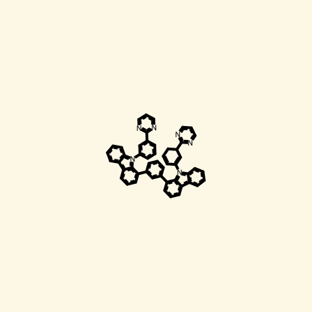 C1=CC(n2c3ccccc3c3cccc(-c4cccc(-c5cccc6c7ccccc7n(-c7cccc(-c8ncccn8)c7)c56)c4)c32)=CC(c2ncccn2)C1